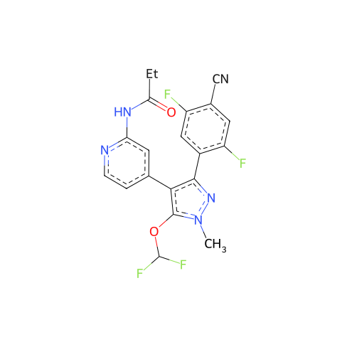 CCC(=O)Nc1cc(-c2c(-c3cc(F)c(C#N)cc3F)nn(C)c2OC(F)F)ccn1